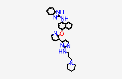 c1cnc(Oc2ccc(Nc3nc4ccccc4[nH]3)c3ccccc23)c(-c2ccnc(NCCCN3CCCCC3)n2)c1